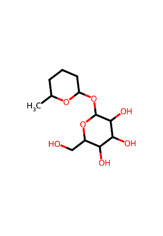 CC1CCCC(OC2OC(CO)C(O)C(O)C2O)O1